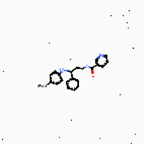 CCCCCc1ccc(NC(CCNC(=O)c2cccnc2)c2ccccc2)cc1